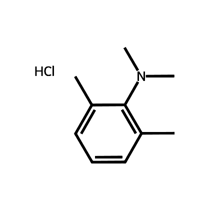 Cc1cccc(C)c1N(C)C.Cl